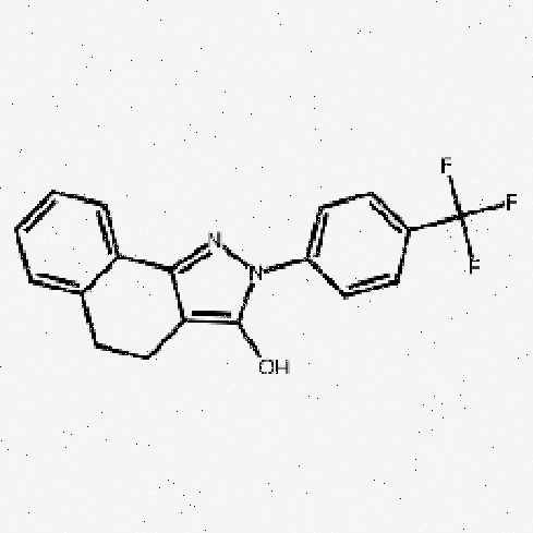 Oc1c2c(nn1-c1ccc(C(F)(F)F)cc1)-c1ccccc1CC2